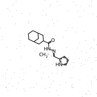 O=C(NN=Cc1ccc[nH]1)C1CC2CCCC(C2)C1.[CH2]